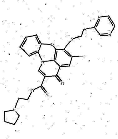 O=C(NCCN1CCCC1)c1cn2c3c(c(SCCc4cnccn4)c(F)cc3c1=O)Oc1ccccc1-2